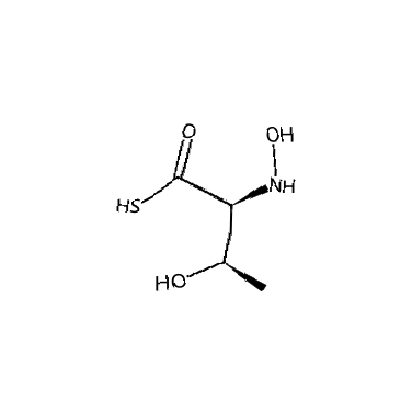 C[C@@H](O)[C@H](NO)C(=O)S